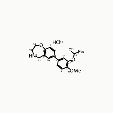 COc1ccc(-c2ccc3c(c2)CNCCO3)cc1OC(F)F.Cl